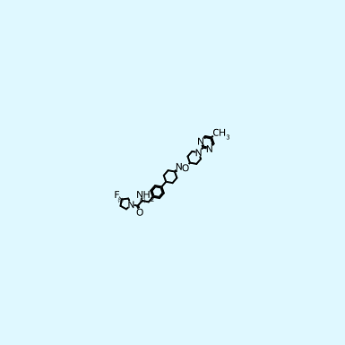 Cc1cnc(N2CCC(ON=C3CCC(c4ccc(C[C@H](N)C(=O)N5CC[C@H](F)C5)cc4)CC3)CC2)nc1